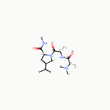 CNC(=O)[C@@H]1CC(C(C)C)CN1C(=O)[C@H](C)NC(=O)[C@H](C)N(C)C